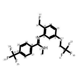 CN/C(=N\c1cc(SCC(F)(F)F)ccc1CF)c1ccc(C(F)(F)F)cc1